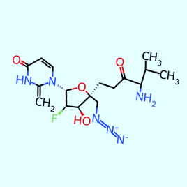 C=C1NC(=O)C=CN1[C@@H]1O[C@@](CCC(=O)C(N)C(C)C)(CN=[N+]=[N-])[C@@H](O)[C@H]1F